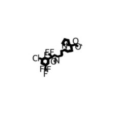 COC(=O)c1ccc(C=CC2=NOC(c3cc(Cl)cc(C(F)(F)F)c3)(C(F)(F)F)C2)n2cccc12